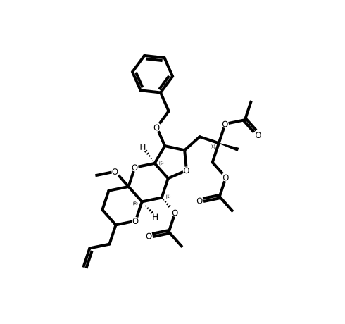 C=CCC1CCC2(OC)O[C@H]3C(OCc4ccccc4)C(C[C@@](C)(COC(C)=O)OC(C)=O)OC3[C@H](OC(C)=O)[C@H]2O1